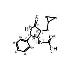 O=C(O)N[C@H]1[C@H](CC2CC2)C(=O)N[C@@H]1c1ccccc1